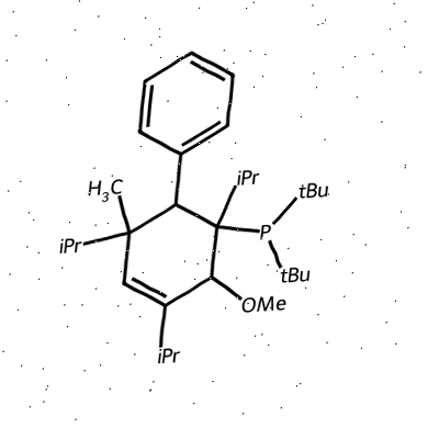 COC1C(C(C)C)=CC(C)(C(C)C)C(c2ccccc2)C1(C(C)C)P(C(C)(C)C)C(C)(C)C